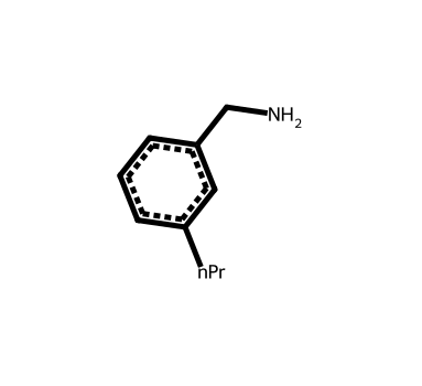 CCCc1cccc(CN)c1